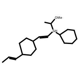 C/C=C/C1CCC(/C=C/[SiH](C2CCCCC2)C(C)OC)CC1